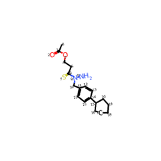 CC(=O)OCCC(=S)N(N)Cc1ccc(C2CCCCC2)cc1